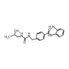 CC(C)CNC(=O)NCc1ccc(C(=O)Nc2ccccc2N)cc1